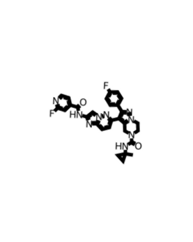 CC1(NC(=O)N2CCn3nc(-c4ccc(F)cc4)c(-c4ccc5nc(NC(=O)c6ccnc(F)c6)cn5n4)c3C2)CC1